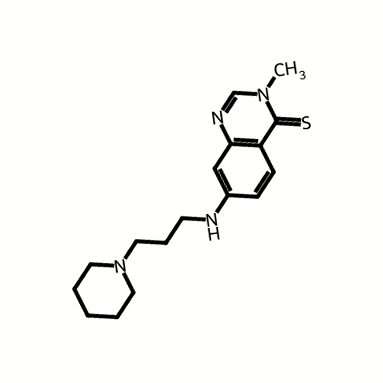 Cn1cnc2cc(NCCCN3CCCCC3)ccc2c1=S